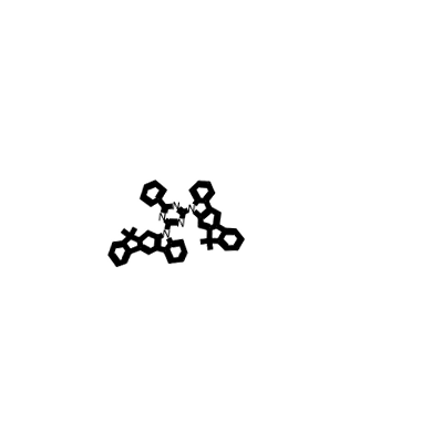 CC1(C)c2ccccc2-c2cc3c4ccccc4n(-c4nc(-c5ccccc5)nc(-n5c6c(c7ccccc75)C=C5c7ccccc7C(C)(C)C5C6)n4)c3cc21